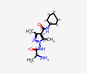 Cc1nn(NC(=O)C(C)N)c(C)c1C(=O)NC1CCCCC1